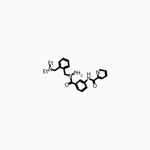 CCN(CC)Cc1ccccc1CN(P)C(=O)c1cccc(NC(=O)c2ccccn2)c1